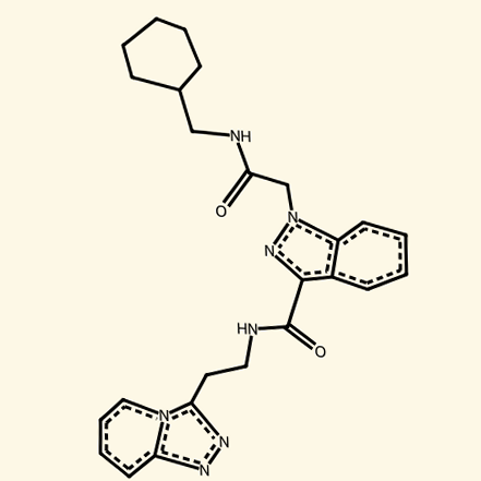 O=C(Cn1nc(C(=O)NCCc2nnc3ccccn23)c2ccccc21)NCC1CCCCC1